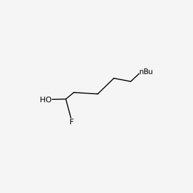 CCCCCCCCC(O)F